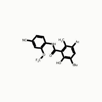 CC(=O)c1cc(C(C)(C)C)c(O)c(C(=O)Nc2ccc(C#N)cc2OC(F)(F)F)c1C